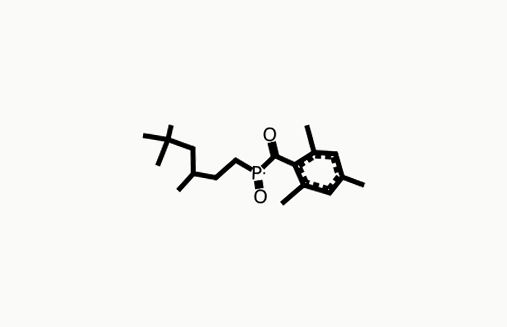 Cc1cc(C)c(C(=O)[P](=O)CCC(C)CC(C)(C)C)c(C)c1